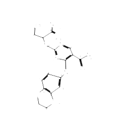 CC(C)CC(Nc1ncc(C(N)=O)c(Nc2ccc3c(c2)OCCO3)n1)C(N)=O